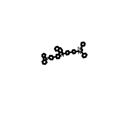 c1ccc(-c2cc(-c3ccccc3)nc(-c3ccc(-c4ccc(-c5nc6ccc(-c7ccc(-n8c9ccccc9c9ccccc98)cc7)cc6c6c5ccc5ccccc56)cc4)cc3)n2)cc1